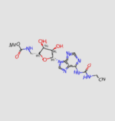 COC(=O)NC[C@H]1O[C@@H](n2cnc3c(NC(=O)NCC#N)ncnc32)[C@H](O)[C@@H]1O